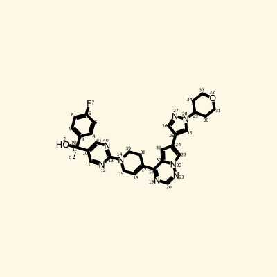 C[C@](O)(c1ccc(F)cc1)c1cnc(N2CC=C(c3ncnn4cc(-c5cnn(C6CCOCC6)c5)cc34)CC2)nc1